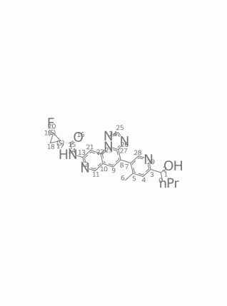 CCCC(O)c1cc(C)c(-c2cc3cnc(NC(=O)[C@@H]4C[C@@H]4F)cc3n3ncnc23)cn1